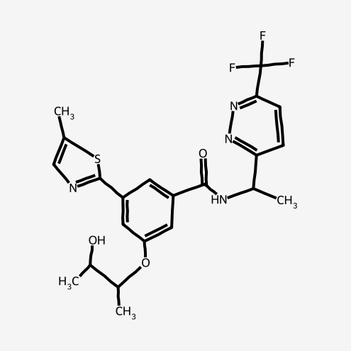 Cc1cnc(-c2cc(OC(C)C(C)O)cc(C(=O)NC(C)c3ccc(C(F)(F)F)nn3)c2)s1